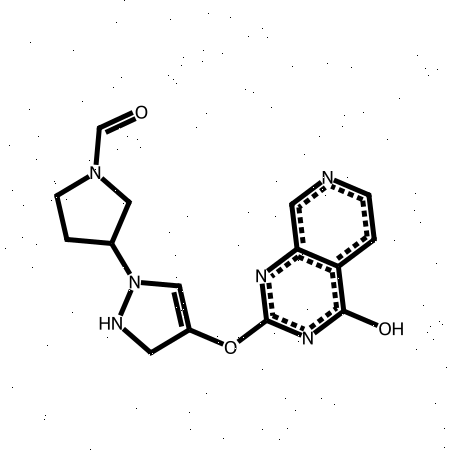 O=CN1CCC(N2C=C(Oc3nc(O)c4ccncc4n3)CN2)C1